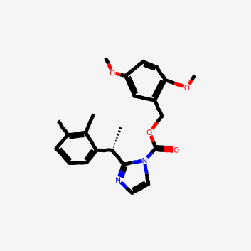 COc1ccc(OC)c(COC(=O)n2ccnc2[C@@H](C)c2cccc(C)c2C)c1